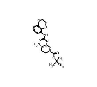 CC(C)(C)OC(=O)N1CC[C@H](N)[C@H](NC(=S)Nc2cccc3c2OCCO3)C1